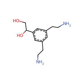 NCCc1cc(CCN)cc(C(O)CO)c1